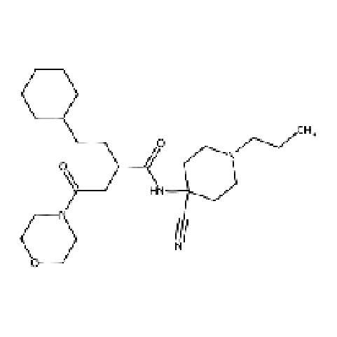 CCCN1CCC(C#N)(NC(=O)C(CCC2CCCCC2)CC(=O)N2CCOCC2)CC1